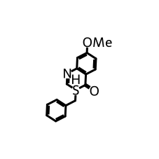 COc1ccc2c(c1)N=C[SH](Cc1ccccc1)C2=O